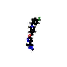 Cc1nn(C)cc1-c1ccc(OCC2CC3CN(Cc4ccc(F)cc4)CC3C2)nn1